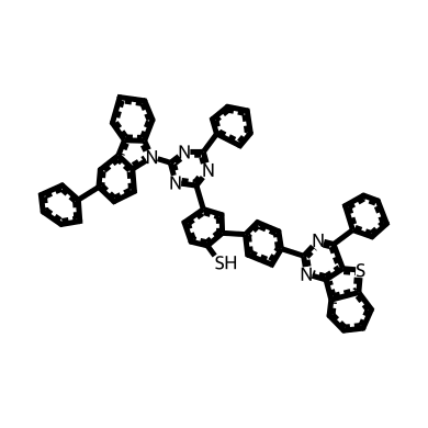 Sc1ccc(-c2nc(-c3ccccc3)nc(-n3c4ccccc4c4cc(-c5ccccc5)ccc43)n2)cc1-c1ccc(-c2nc(-c3ccccc3)c3sc4ccccc4c3n2)cc1